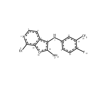 CCc1nccc2c(Nc3ccc(F)c(C(F)(F)F)c3)c(N)oc12